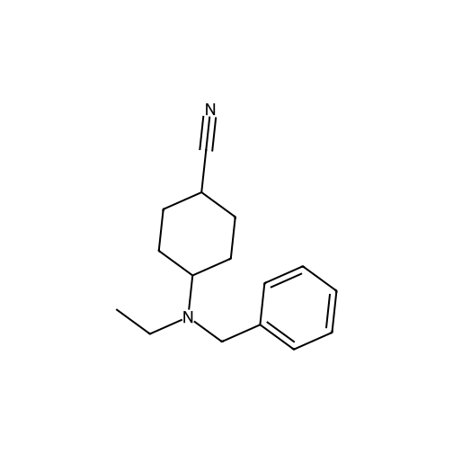 CCN(Cc1ccccc1)C1CCC(C#N)CC1